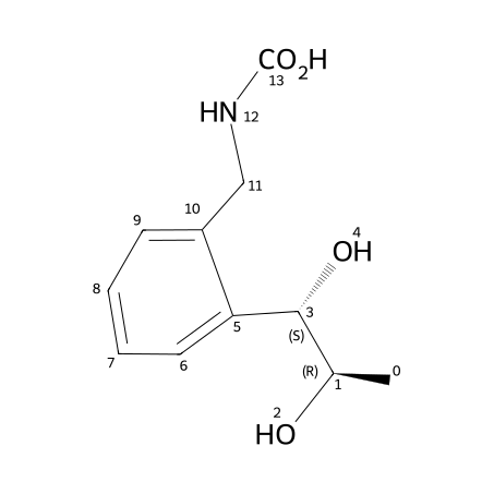 C[C@@H](O)[C@@H](O)c1ccccc1CNC(=O)O